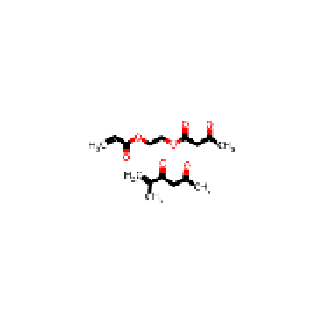 C=C(C)C(=O)CC(C)=O.C=CC(=O)OCCOC(=O)CC(C)=O